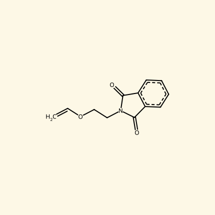 C=COCCN1C(=O)c2ccccc2C1=O